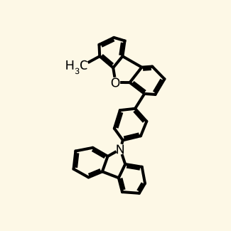 Cc1cccc2c1oc1c(-c3ccc(-n4c5ccccc5c5ccccc54)cc3)cccc12